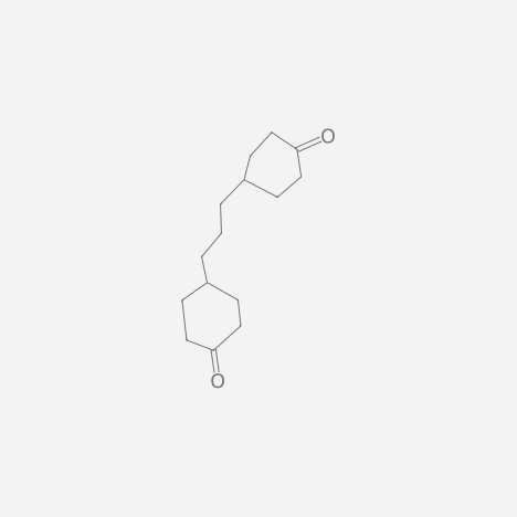 O=C1CCC(CCCC2CCC(=O)CC2)CC1